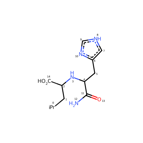 CC(C)CC(NC(Cc1c[nH]cn1)C(N)=O)C(=O)O